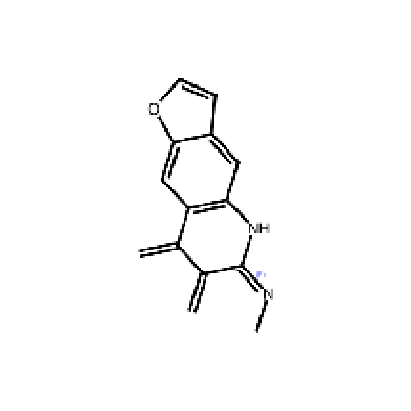 C=c1c(=C)c2cc3occc3cc2[nH]/c1=N/C